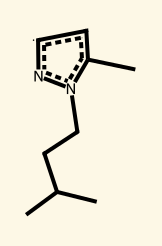 Cc1c[c]nn1CCC(C)C